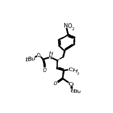 C/C(=C\[C@H](Cc1ccc([N+](=O)[O-])cc1)NC(=O)OC(C)(C)C)C(=O)OC(C)(C)C